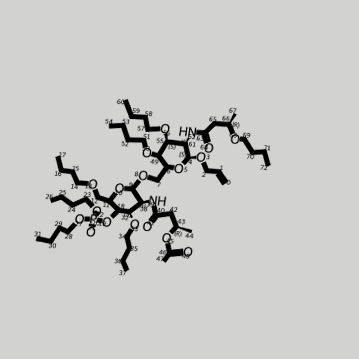 C=CCO[C@H]1OC(COC2OC(COCCCC)C(OP(=O)(OCCCC)OCCCC)[C@@H](OCCCC)[C@@H]2NC(=O)C[C@@H](C)OC(C)=O)C(OCCCC)[C@@H](OCCCC)[C@@H]1NC(=O)C[C@@H](C)OCCCC